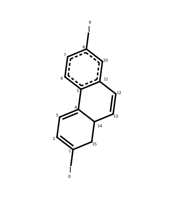 IC1=CC=C2c3ccc(I)cc3C=CC2C1